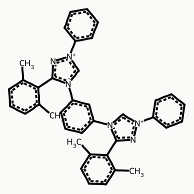 Cc1cccc(C)c1-c1n[n+](-c2ccccc2)cn1-c1cccc(-n2c[n+](-c3ccccc3)nc2-c2c(C)cccc2C)c1